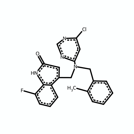 Cc1ccccc1CN(Cc1cc(=O)[nH]c2c(F)cccc12)c1cc(Cl)ncn1